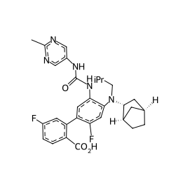 Cc1ncc(NC(=O)Nc2cc(-c3cc(F)ccc3C(=O)O)c(F)cc2N(CC(C)C)[C@@H]2C[C@H]3CC[C@@H]2C3)cn1